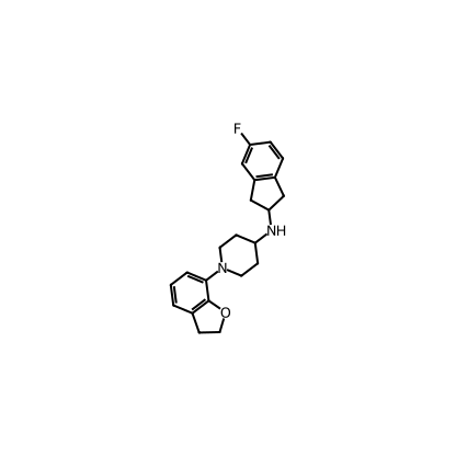 Fc1ccc2c(c1)CC(NC1CCN(c3cccc4c3OCC4)CC1)C2